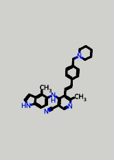 Cc1ncc(C#N)c(Nc2ccc3[nH]ccc3c2C)c1/C=C/c1ccc(CN2CCCCC2)cc1